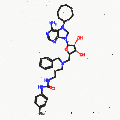 CC(C)(C)c1ccc(NC(=O)NCCCN(Cc2ccccc2)C[C@H]2O[C@@H](N3CN(C4CCCCCCC4)c4c(N)ncnc43)[C@H](O)[C@@H]2O)cc1